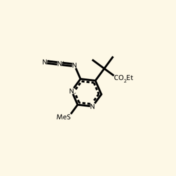 CCOC(=O)C(C)(C)c1cnc(SC)nc1N=[N+]=[N-]